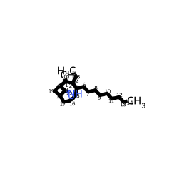 C=C1C(CC)C(CCCCCCCCC)CC2CC3CC1C3N2